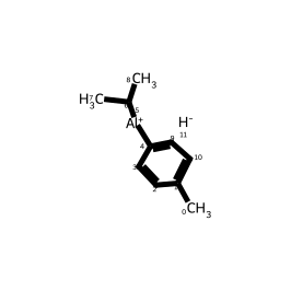 Cc1cc[c]([Al+][CH](C)C)cc1.[H-]